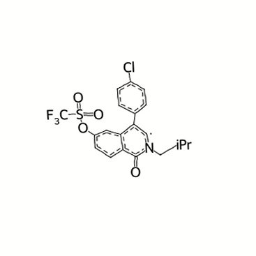 CC(C)Cn1[c]c(-c2ccc(Cl)cc2)c2cc(OS(=O)(=O)C(F)(F)F)ccc2c1=O